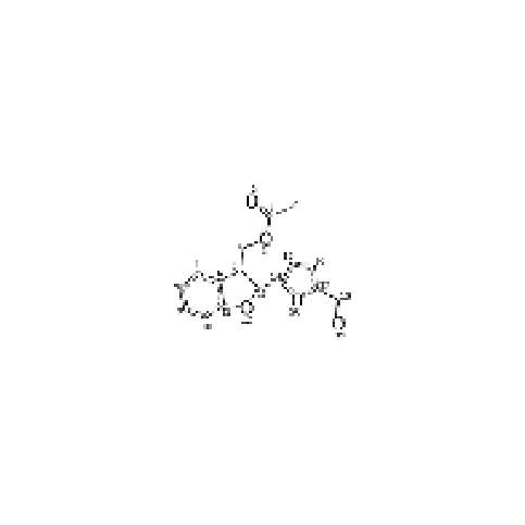 CC(=O)OCC1c2ccccc2OC1c1ccc(C=O)o1